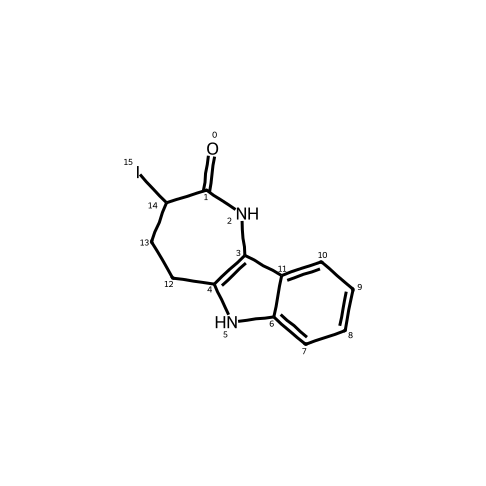 O=C1Nc2c([nH]c3ccccc23)CCC1I